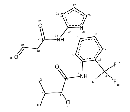 CC(C)C(Cl)C(=O)Nc1ccccc1C(F)(F)F.O=CCC(=O)Nc1nccs1